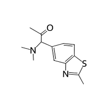 CC(=O)C(c1ccc2sc(C)nc2c1)N(C)C